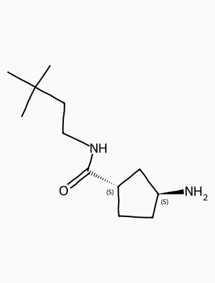 CC(C)(C)CCNC(=O)[C@H]1CC[C@H](N)C1